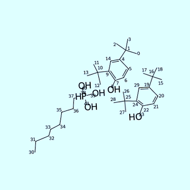 CC(C)(C)c1ccc(O)c(C(C)(C)C)c1.CC(C)(C)c1ccc(O)c(C(C)(C)C)c1.CCCCCCCC[PH](O)(O)O